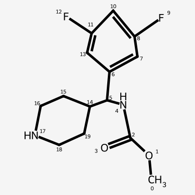 COC(=O)NC(c1cc(F)cc(F)c1)C1CCNCC1